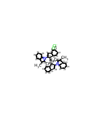 Cc1c(C)n(C2=Cc3ccccc3[CH]2[Zr+2][CH]2C(n3c(C)c(C)c4ccccc43)=Cc3ccccc32)c2ccccc12.[Cl-].[Cl-]